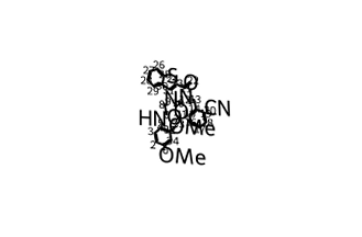 COc1ccc(NC(=O)Cn2c(=O)n(Cc3ccccc3C#N)c(=O)c3sc4ccccc4c32)c(OC)c1